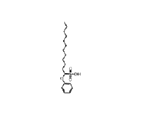 CCCCCCCCCCCC(Oc1ccccc1)S(=O)(=O)O